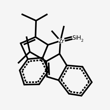 CC(C)C1=Cc2ccccc2[CH]1[Zr]([CH3])([CH3])(=[SiH2])[CH]1C(C(C)C)=Cc2ccccc21